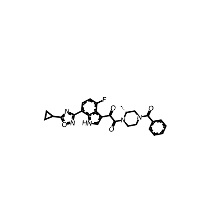 C[C@@H]1CN(C(=O)c2ccccc2)CCN1C(=O)C(=O)c1c[nH]c2c(-c3noc(C4CC4)n3)ccc(F)c12